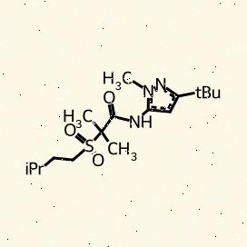 CC(C)CCS(=O)(=O)C(C)(C)C(=O)Nc1cc(C(C)(C)C)nn1C